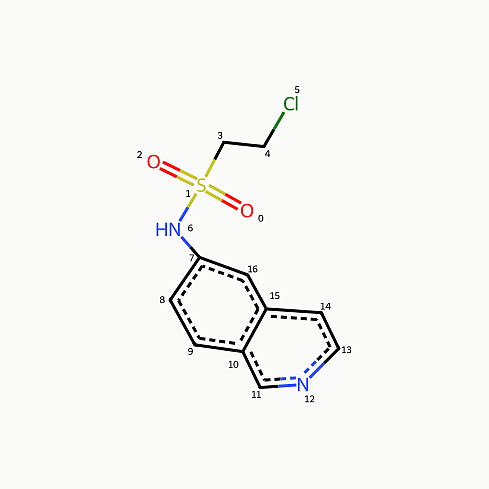 O=S(=O)(CCCl)Nc1ccc2cnccc2c1